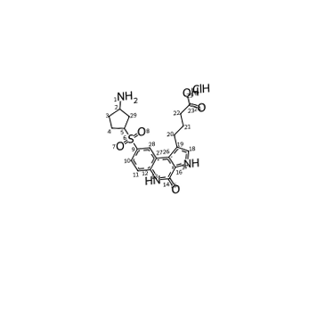 Cl.NC1CCC(S(=O)(=O)c2ccc3[nH]c(=O)c4[nH]cc(CCCC(=O)O)c4c3c2)C1